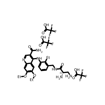 CCOc1cc2ncc(C(N)=O)c(Nc3cccc(CNC(=O)[C@@H](N)CN)c3CC)c2cc1OCC.O=C(O)C(F)(F)F.O=C(O)C(F)(F)F.O=C(O)C(F)(F)F